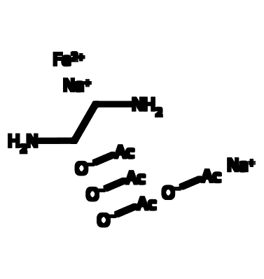 CC(=O)[O-].CC(=O)[O-].CC(=O)[O-].CC(=O)[O-].NCCN.[Fe+2].[Na+].[Na+]